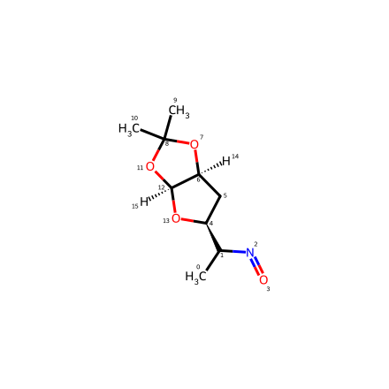 CC(N=O)[C@@H]1C[C@@H]2OC(C)(C)O[C@@H]2O1